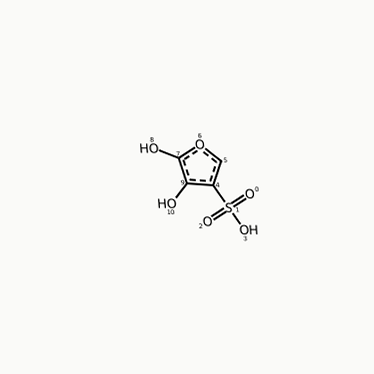 O=S(=O)(O)c1coc(O)c1O